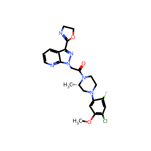 COc1cc(N2CCN(C(=O)Cn3nc(C4=NCCO4)c4cccnc43)[C@@H](C)C2)c(F)cc1Cl